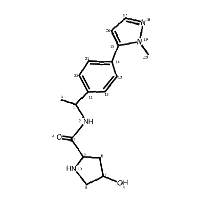 CC(NC(=O)C1CC(O)CN1)c1ccc(-c2ccnn2C)cc1